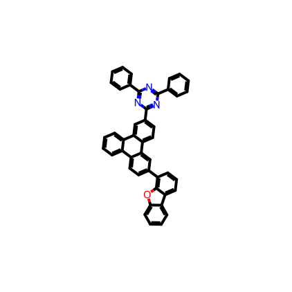 c1ccc(-c2nc(-c3ccccc3)nc(-c3ccc4c(c3)c3ccccc3c3ccc(-c5cccc6c5oc5ccccc56)cc34)n2)cc1